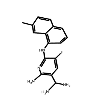 Cc1ccc2cccc(Nc3nc(N)c(C(N)N)cc3F)c2c1